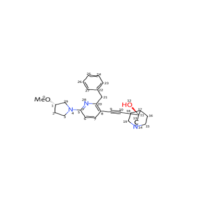 CO[C@H]1CCN(c2ccc(C#C[C@@]3(O)CN4CCC3CC4)c(Cc3ccccc3)n2)C1